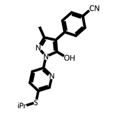 Cc1nn(-c2ccc(SC(C)C)cn2)c(O)c1-c1ccc(C#N)cc1